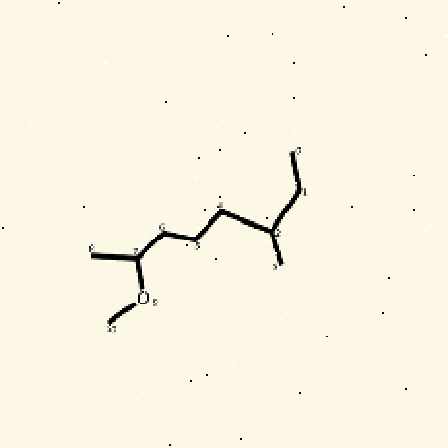 CCC(C)CCCC(C)OC